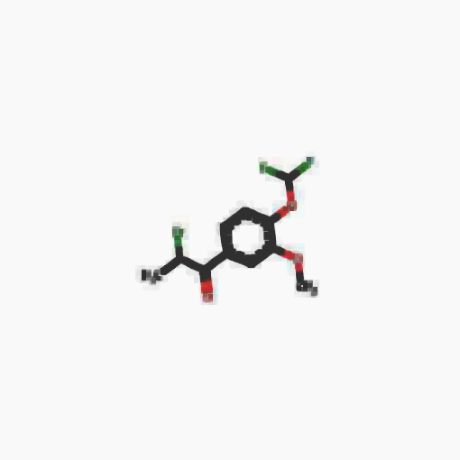 COc1cc(C(=O)C(C)Br)ccc1OC(F)F